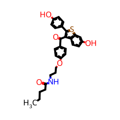 CCCCC(=O)NCCCOc1ccc(C(=O)c2c(-c3ccc(O)cc3)sc3cc(O)ccc23)cc1